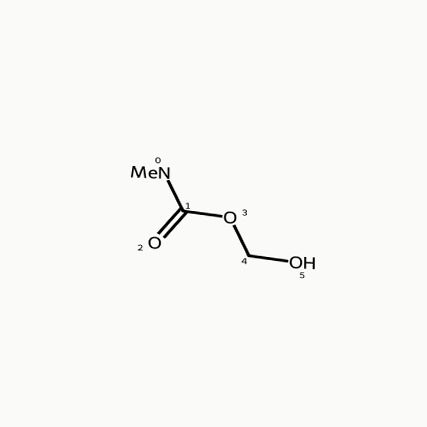 CNC(=O)OCO